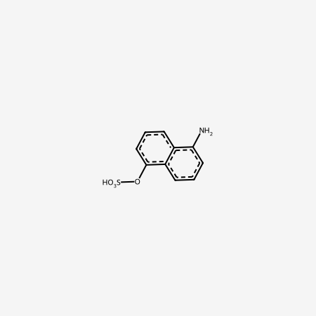 Nc1cccc2c(OS(=O)(=O)O)cccc12